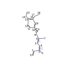 C=C/C(C)=C\C=C(/C)CSc1ccc(CC)c(CC)c1